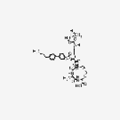 CCCCc1ccc(-c2ccc(C(=O)N[C@@H](CCCCNC(=O)OC(C)(C)C)C(=O)N[C@H]3COCCCC[C@@H](C(=O)O)NC(=O)[C@H](N)NC3=O)cc2)cc1